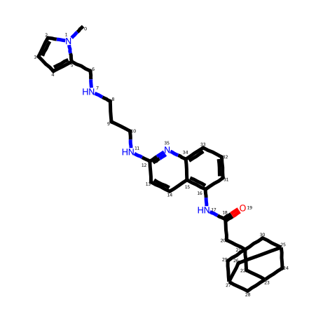 Cn1cccc1CNCCCNc1ccc2c(NC(=O)CC34CC5CC(CC(C5)C3)C4)cccc2n1